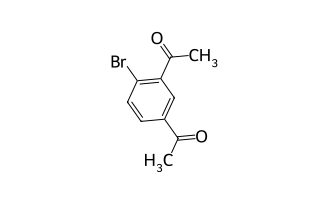 CC(=O)c1ccc(Br)c(C(C)=O)c1